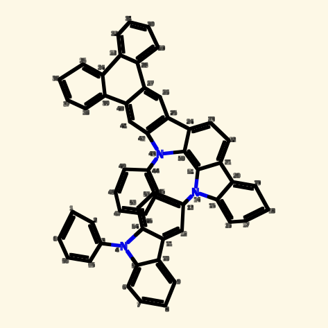 c1ccc(-n2c3ccccc3c3cc(-n4c5ccccc5c5ccc6c7cc8c9ccccc9c9ccccc9c8cc7n(-c7ccccc7)c6c54)ccc32)cc1